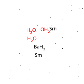 O.O.O.[BaH2].[Sm].[Sm]